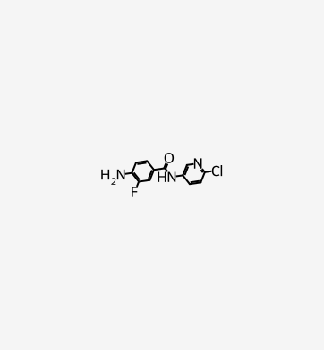 Nc1ccc(C(=O)Nc2ccc(Cl)nc2)cc1F